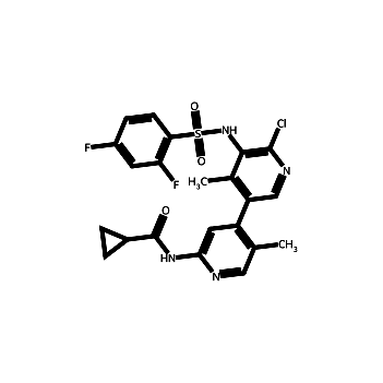 Cc1cnc(NC(=O)C2CC2)cc1-c1cnc(Cl)c(NS(=O)(=O)c2ccc(F)cc2F)c1C